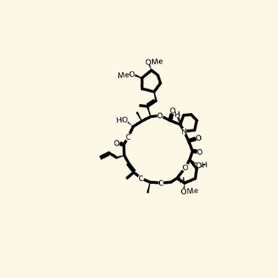 C=CC[C@@H]1/C=C(\C)C[C@H](C)CC[C@H]2O[C@@](O)(C(=O)C(=O)N3CCCC[C@H]3C(=O)O[C@H](/C(C)=C/[C@@H]3CC[C@@H](OC)[C@H](OC)C3)[C@H](C)[C@@H](O)CC1=O)[C@H](C)C[C@@H]2OC